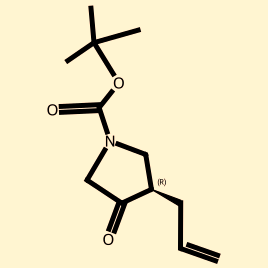 C=CC[C@@H]1CN(C(=O)OC(C)(C)C)CC1=O